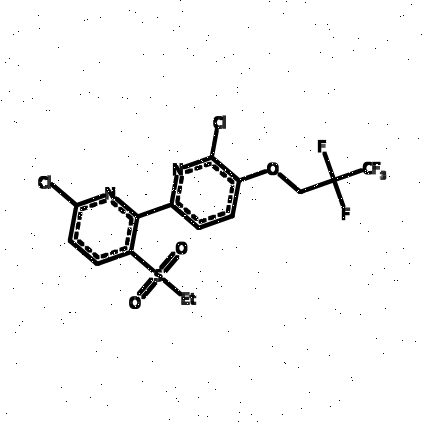 CCS(=O)(=O)c1ccc(Cl)nc1-c1ccc(OCC(F)(F)C(F)(F)F)c(Cl)n1